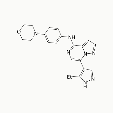 CCc1[nH]ncc1-c1cnc(Nc2ccc(N3CCOCC3)cc2)c2ccnn12